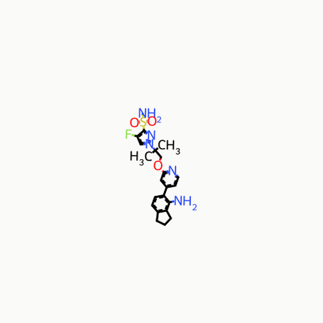 CC(C)(COc1cc(-c2ccc3c(c2N)CCC3)ccn1)n1cc(F)c(S(N)(=O)=O)n1